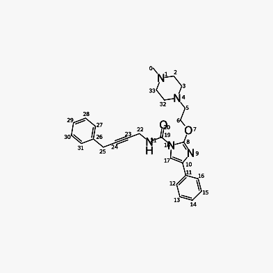 CN1CCN(CCOc2nc(-c3ccccc3)cn2C(=O)NCC#CCc2ccccc2)CC1